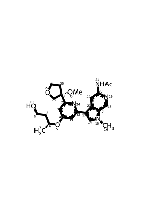 CO[C@@]1(c2cc(O[C@@H](C)CCO)cc(-c3cn(C)c4cnc(NC(C)=O)cc34)n2)CCOC1